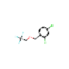 F[B-](F)(F)COCc1ccc(Cl)cc1Cl